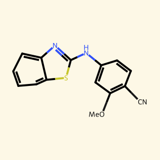 COc1cc(Nc2nc3ccccc3s2)ccc1C#N